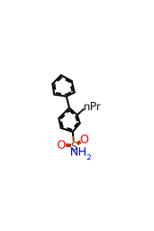 CCCc1cc(S(N)(=O)=O)ccc1-c1ccccc1